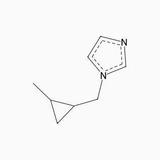 CC1CC1Cn1ccnc1